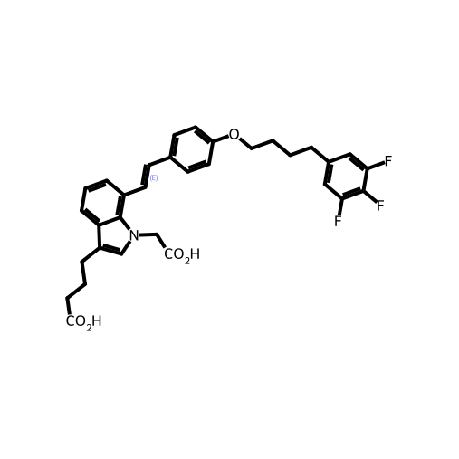 O=C(O)CCCc1cn(CC(=O)O)c2c(/C=C/c3ccc(OCCCCc4cc(F)c(F)c(F)c4)cc3)cccc12